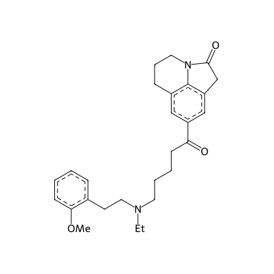 CCN(CCCCC(=O)c1cc2c3c(c1)CC(=O)N3CCC2)CCc1ccccc1OC